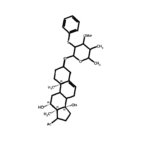 COC1C(C)C(C)OC(OC2CC[C@@]3(C)C(=CCC4C3C[C@@H](O)[C@]3(C)C(C(C)=O)CC[C@]43O)C2)C1Sc1ccccc1